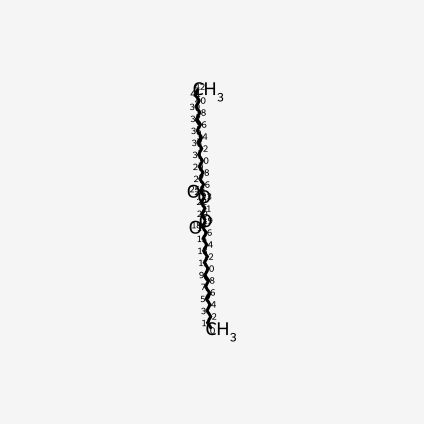 CCCCCC=CCC=CCCCCCCCC(=O)OCCCOC(=O)CCCCCCCC=CCC=CCCCCC